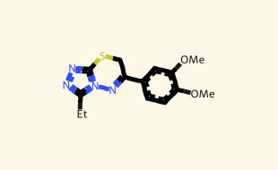 CCc1nnc2n1N=C(c1ccc(OC)c(OC)c1)CS2